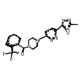 Cc1nnc(-c2ccc(N3CCN(C(=O)c4ccccc4C(F)(F)F)CC3)nn2)o1